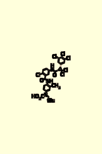 Cc1cc(N(CC(C)(C)C)C(=O)O)ccc1NC(=O)c1cc(NC(=O)[C@H]2[C@H](c3cc(Cl)c(Cl)c(Cl)c3)C2(Cl)Cl)ccc1Cl